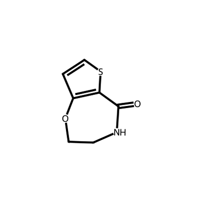 O=C1NCCOc2ccsc21